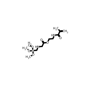 C=C(C)C(=O)NCCOC(=O)CNC[Si](OC)(OC)OC